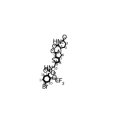 O=C1CCC(N2Cc3cc(CNS(=O)(=O)c4ccc(Br)cc4OC(F)(F)F)sc3C2=O)C(=O)N1